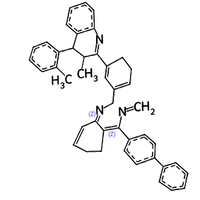 C=N/C(=C1/CCC=C/C1=N/CC1=CCCC(C2=Nc3ccccc3C(c3ccccc3C)C2C)=C1)c1ccc(-c2ccccc2)cc1